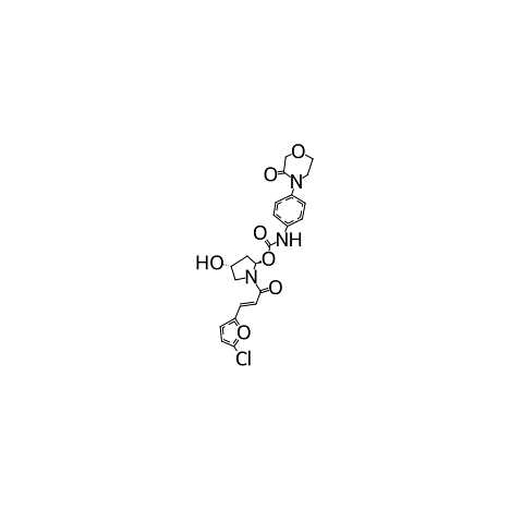 O=C(Nc1ccc(N2CCOCC2=O)cc1)O[C@@H]1C[C@@H](O)CN1C(=O)/C=C/c1ccc(Cl)o1